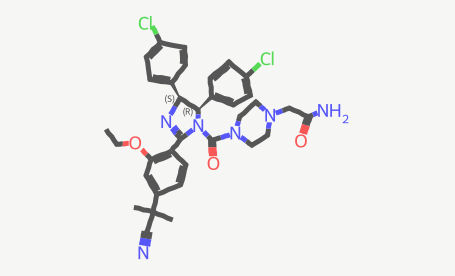 CCOc1cc(C(C)(C)C#N)ccc1C1=N[C@@H](c2ccc(Cl)cc2)[C@@H](c2ccc(Cl)cc2)N1C(=O)N1CCN(CC(N)=O)CC1